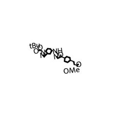 COC(=O)C=Cc1ccc(-c2cnc(Nc3ccc4c(cnn4C(=O)OC(C)(C)C)c3)o2)cc1